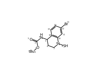 CC(C)(C)OC(=O)NC1CCN(S)c2cc(Br)ccc21